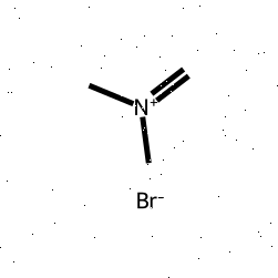 C=[N+](C)C.[Br-]